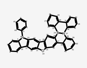 c1ccc(-n2c3ccccc3c3cc4oc5cc6c(cc5c4cc32)B2c3ccccc3-c3ccccc3N2c2ccccc2-6)cc1